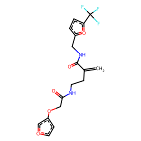 C=C(CCNC(=O)COc1ccoc1)C(=O)NCc1ccc(C(F)(F)F)o1